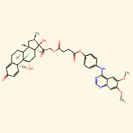 COc1cc2ncnc(Nc3ccc(OC(=O)CCC(=O)OCC(=O)[C@@]4(O)[C@H](C)C[C@H]5[C@@H]6CCC7=CC(=O)C=C[C@]7(C)[C@@]6(F)[C@@H](O)C[C@@]54C)cc3)c2cc1OC